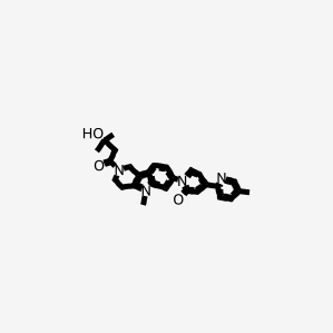 Cc1ccc(-c2ccn(-c3ccc4c5c(n(C)c4c3)CCN(C(=O)CC(C)(C)O)C5)c(=O)c2)nc1